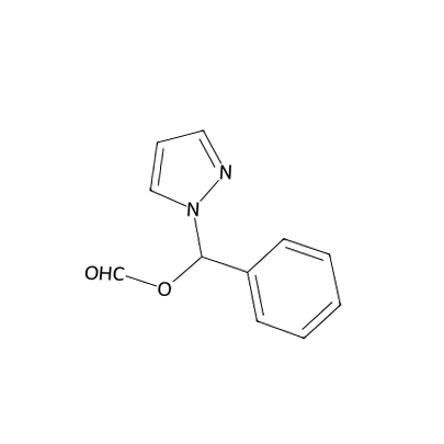 O=COC(c1ccccc1)n1cccn1